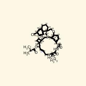 CN(C)C(=O)O[C@@H]1/C=C/CNC(C)(C)C(=O)NS(=O)(=O)c2ccc3c(c2)N(C[C@@H]2CC[C@H]21)C[C@@]1(CCCc2cc(Cl)ccc21)CO3